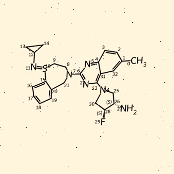 Cc1ccc2nc(N3CCS(=NC4CC4)c4ccccc4C3)nc(N3C[C@H](N)[C@@H](F)C3)c2c1